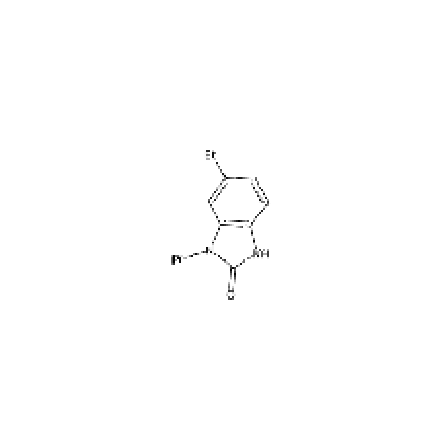 CCc1ccc2[nH]c(=O)n(C(C)C)c2c1